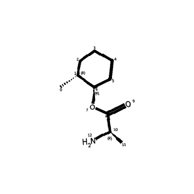 C[C@@H]1CCCC[C@H]1OC(=O)[C@@H](C)N